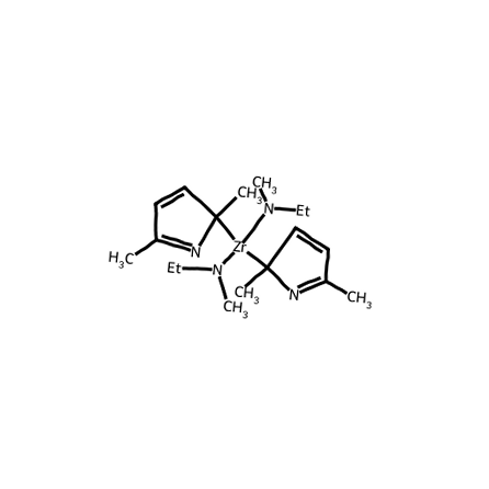 CC[N](C)[Zr]([N](C)CC)([C]1(C)C=CC(C)=N1)[C]1(C)C=CC(C)=N1